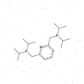 CC(C)P(Cc1cccc(CP(C(C)C)C(C)C)n1)C(C)C